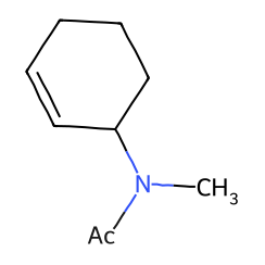 CC(=O)N(C)C1C=CCCC1